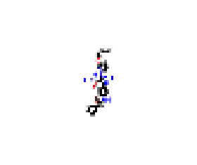 COCCOc1cccc(Nc2[nH]nc(-c3ccc(NC(=O)Cc4ccccc4)cc3)c2C(N)=O)n1